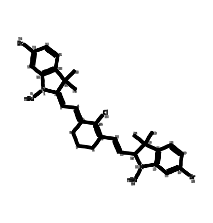 CCCCN1/C(=C/C=C2\CCCC(/C=C/C3N(CCCC)c4cc(Br)ccc4C3(C)C)=C2Cl)C(C)(C)c2ccc(Br)cc21